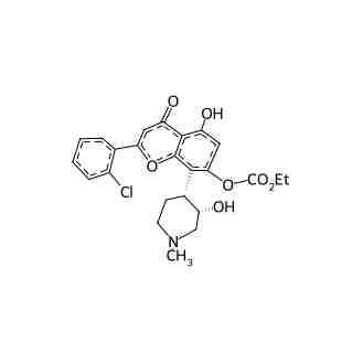 CCOC(=O)Oc1cc(O)c2c(=O)cc(-c3ccccc3Cl)oc2c1[C@H]1CCN(C)C[C@H]1O